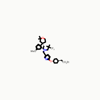 CCOC(=O)C[C@H]1CC[C@H](Oc2ccc(CN(CC[C@@]3(c4ccc(OC)cc4)CCOC(C)(C)C3)CC(C)(C)C(F)(F)F)cn2)CC1